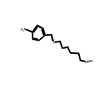 CCCCCCCCCCCCCCCCSCc1ccc([N+](=O)[O-])cc1